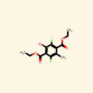 CCOC(=O)c1c(C)c(F)c(C(=O)OCC)c(Br)c1F